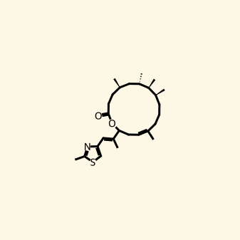 C/C1=C/CC(/C(C)=C/c2csc(C)n2)OC(=O)CC[C@@H](C)C[C@H](C)[C@@H](C)[C@@H](C)CCC1